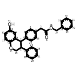 O=C(Cc1ccc(C2c3cc(O)ccc3OCC2c2ccccc2)cc1)OCc1ccccc1